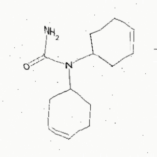 NC(=O)N(C1CC=CCC1)C1CC=CCC1